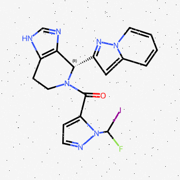 O=C(c1ccnn1C(F)I)N1CCc2[nH]cnc2[C@@H]1c1cc2ccccn2n1